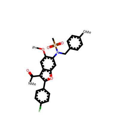 CNC(=O)c1c(-c2ccc(F)cc2)oc2cc(N(Cc3ccc(OC)cc3)S(C)(=O)=O)c(OC(C)C)cc12